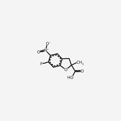 CC1(C(=O)O)Cc2cc([N+](=O)[O-])c(F)cc2O1